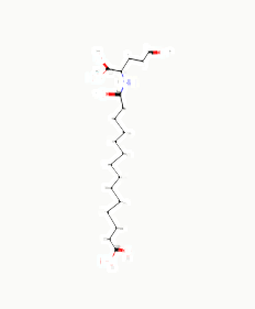 O=CCCC(NC(=O)CCCCCCCCCCCCC(=O)O)C(=O)O